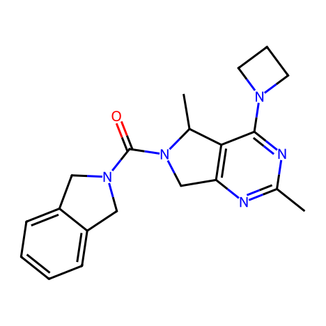 Cc1nc2c(c(N3CCC3)n1)C(C)N(C(=O)N1Cc3ccccc3C1)C2